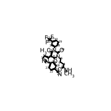 CNC(=O)CCCn1c(=O)c(-c2ccnn2-c2ccc(C#N)cc2)c(C)n(-c2cccc(C(F)(F)F)c2)c1=O